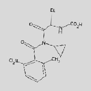 CCC(NC(=O)O)C(=O)N(C(=O)c1c(C)cccc1[N+](=O)[O-])C1CC1